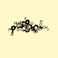 C=CC(O)[C@@H]1C=Cc2c(cn(C/C=C\C3COc4c(cn(C)c4C(=O)Nc4ccc(F)c(C#N)c4)S(=O)(=O)N3)c2C(=O)Nc2ccc(F)c(C#N)c2)S(=O)(=O)N1